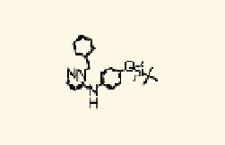 CC(C)(C)[Si](C)(C)Oc1ccc(Nc2ccnn2Cc2ccccc2)cc1